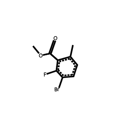 COC(=O)c1c(C)ccc(Br)c1F